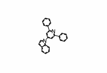 c1ccc(-c2cc(-n3ccc4ccccc43)cc(-c3ccccc3)n2)cc1